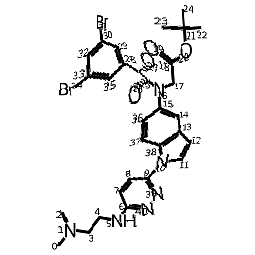 CN(C)CCNc1ccc(-n2ccc3cc(N(CC(=O)OC(C)(C)C)S(=O)(=O)c4cc(Br)cc(Br)c4)ccc32)nn1